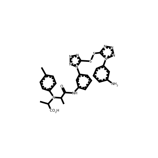 Cc1ccc(N(C(C)C(=O)O)C(C)C(=O)Nc2cccc(-n3nnnc3SSc3nnnn3-c3cccc(N)c3)c2)cc1